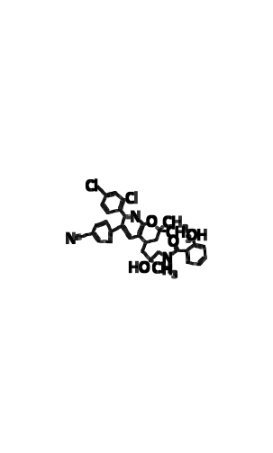 CC(O)(CNC(=O)c1ccccc1O)CC1CC(C)(C)Oc2nc(-c3ccc(Cl)cc3Cl)c(-c3ccc(C#N)cc3)cc21